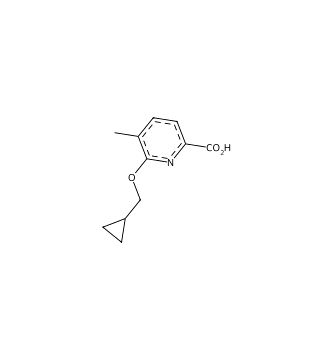 Cc1ccc(C(=O)O)nc1OCC1CC1